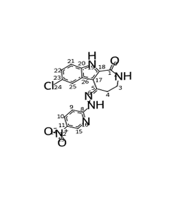 O=C1NCC/C(=N\Nc2ccc([N+](=O)[O-])cn2)c2c1[nH]c1ccc(Cl)cc21